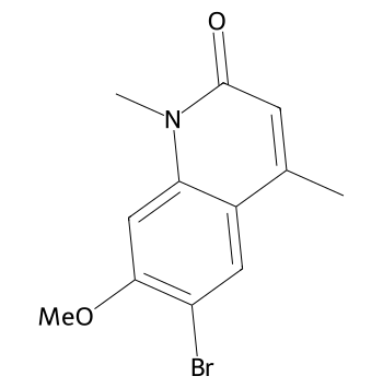 COc1cc2c(cc1Br)c(C)cc(=O)n2C